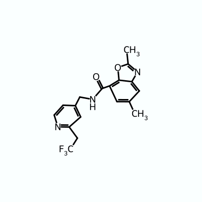 Cc1cc(C(=O)NCc2ccnc(CC(F)(F)F)c2)c2oc(C)nc2c1